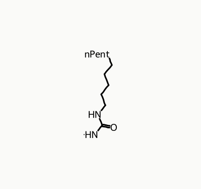 CCCCCCCCCCNC([NH])=O